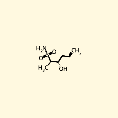 C=CC[C@H](O)[C@@H](C)S(N)(=O)=O